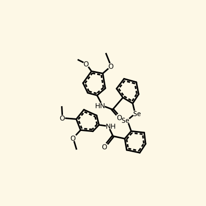 COc1ccc(NC(=O)c2ccccc2[Se][Se]c2ccccc2C(=O)Nc2ccc(OC)c(OC)c2)cc1OC